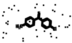 Cc1ccc(C(=S)c2ccc(Cl)cc2)cc1